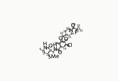 CSc1cc(C)[nH]c(=O)c1CNC(=O)c1cc(Cl)c2c(c1C)OC(C)(C1CCN(C(=O)C3(F)CC3)CC1)O2